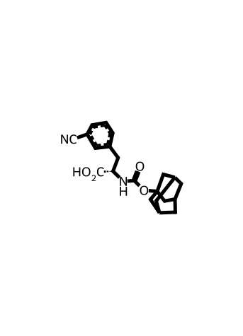 N#Cc1cccc(C[C@H](NC(=O)OC23CC4CC(CC(C4)C2)C3)C(=O)O)c1